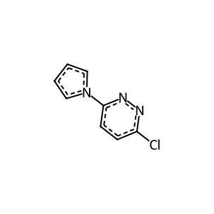 Clc1ccc(-n2cccc2)nn1